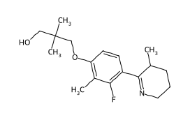 Cc1c(OCC(C)(C)CO)ccc(C2=NCCCC2C)c1F